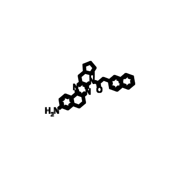 Nc1ccc2c(c1)CCc1nc(NC(=O)Cc3ccc4ccccc4c3)c(CC3CCCC3)nc1-2